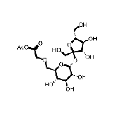 CC(=O)OC(=O)COC[C@H]1O[C@H](O[C@]2(CO)O[C@H](CO)[C@@H](O)[C@@H]2O)[C@H](O)[C@@H](O)[C@@H]1O